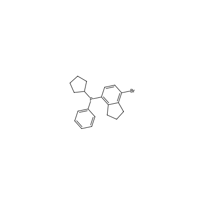 Brc1ccc(P(c2ccccc2)C2CCCC2)c2c1CCC2